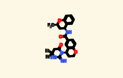 CCC1(CC)CC(=O)N([C@@H]2CCOc3ccc(C(=O)N[C@@H]4C[C@@H](C(F)(F)F)Oc5ccccc54)cc32)C(=N)N1